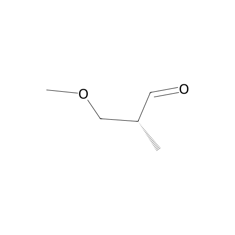 COC[C@@H](C)C=O